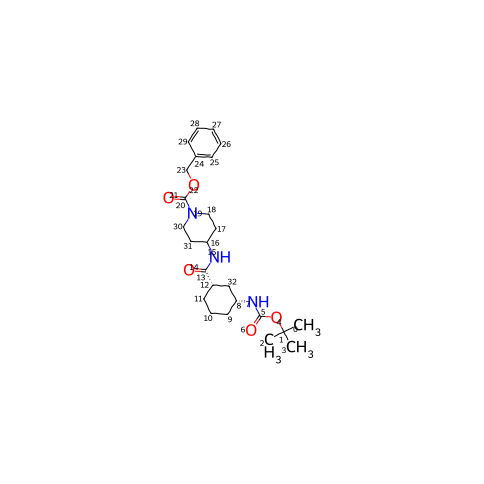 CC(C)(C)OC(=O)N[C@@H]1CCC[C@H](C(=O)NC2CCN(C(=O)OCc3ccccc3)CC2)C1